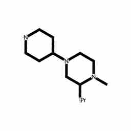 CC(C)C1CN(C2CC[N]CC2)CCN1C